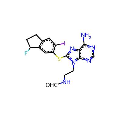 Nc1ncnc2c1nc(Sc1cc3c(cc1I)CCC3F)n2CCNC=O